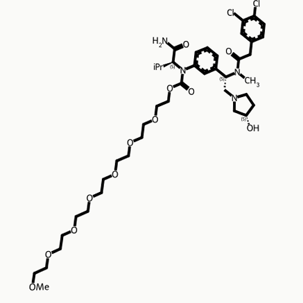 COCCOCCOCCOCCOCCOCCOCCOC(=O)N(c1cccc([C@@H](CN2CC[C@H](O)C2)N(C)C(=O)Cc2ccc(Cl)c(Cl)c2)c1)[C@H](C(N)=O)C(C)C